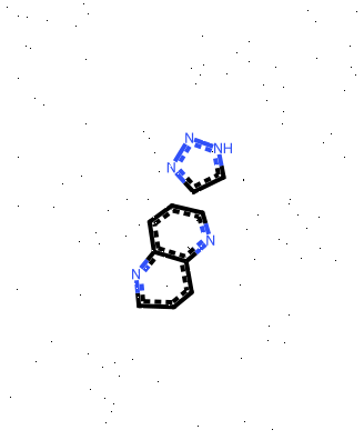 c1c[nH]nn1.c1cnc2cccnc2c1